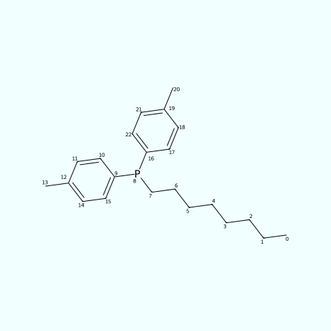 CCCCCCCCP(c1ccc(C)cc1)c1ccc(C)cc1